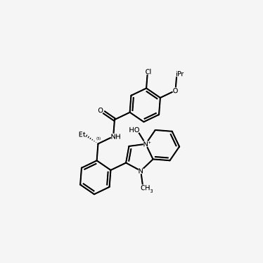 CC[C@H](NC(=O)c1ccc(OC(C)C)c(Cl)c1)c1ccccc1C1=C[N+]2(O)CC=CC=C2N1C